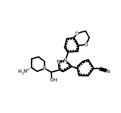 N#Cc1ccc(-c2cc(C(O)N3CCC[C@@H](N)C3)nn2-c2ccc3c(c2)OCCO3)cc1